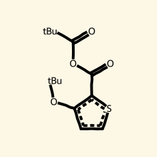 CC(C)(C)Oc1ccsc1C(=O)OC(=O)C(C)(C)C